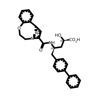 O=C(N[C@H](Cc1ccc(-c2ccccc2)cc1)C[C@@H](O)C(=O)O)c1cc2nn1CCOc1ccccc1-2